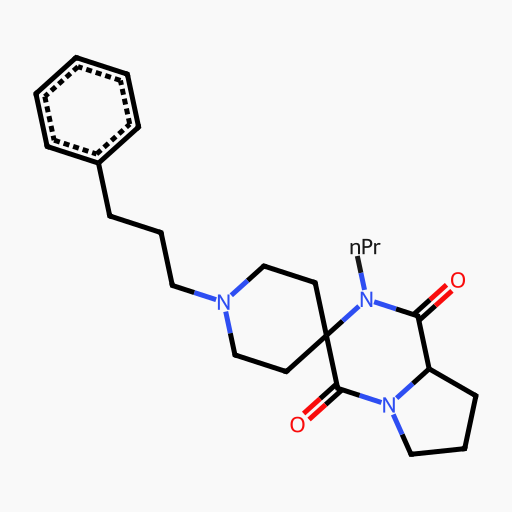 CCCN1C(=O)C2CCCN2C(=O)C12CCN(CCCc1ccccc1)CC2